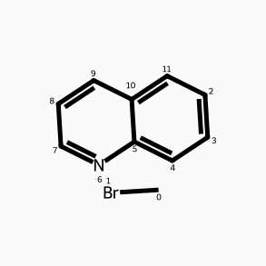 CBr.c1ccc2ncccc2c1